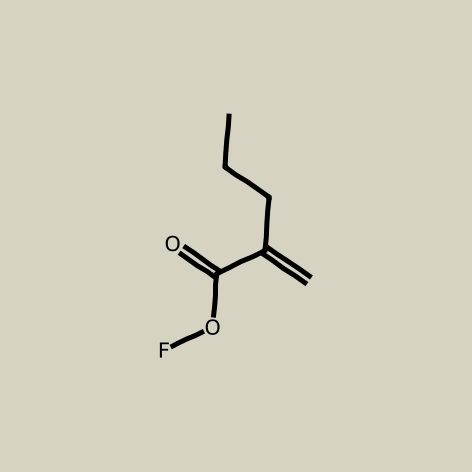 C=C(CCC)C(=O)OF